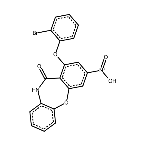 O=C1Nc2ccccc2Oc2cc([N+](=O)O)cc(Oc3ccccc3Br)c21